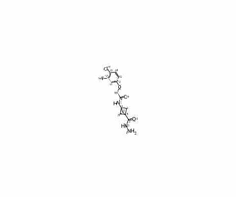 NNC(=O)C12CC(NC(=O)COc3ccc(Cl)c(F)c3)(C1)C2